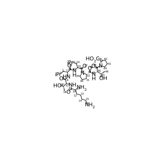 CC(C)C[C@H](NC(=O)[C@@H](NC(=O)[C@@H](N)CCCCN)[C@@H](C)O)C(=O)N[C@@H](CC(C)C)C(=O)N1CCC[C@H]1C(=O)N[C@H](C(=O)N1CCC[C@H]1C(=O)O)[C@@H](C)O